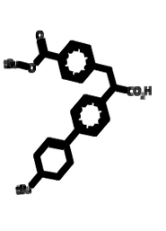 CC(C)(C)OC(=O)c1ccc(CC(C(=O)O)c2ccc(C3=CCC(C(C)(C)C)CC3)cc2)cc1